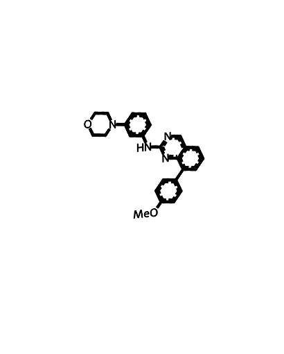 COc1ccc(-c2cccc3cnc(Nc4cccc(N5CCOCC5)c4)nc23)cc1